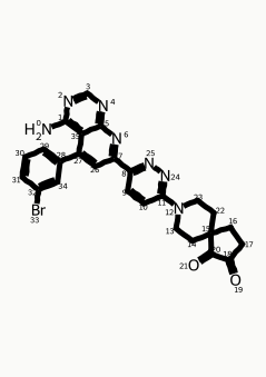 Nc1ncnc2nc(-c3ccc(N4CCC5(CCC(=O)C5=O)CC4)nn3)cc(-c3cccc(Br)c3)c12